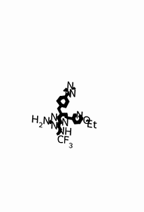 CCOc1ccc(-c2cc(Cc3ccc(-n4cncn4)cc3)c3nc(N)nc(NCC(F)(F)F)c3n2)cn1